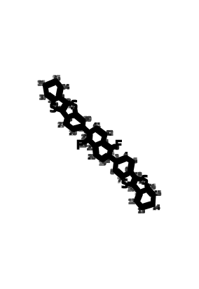 Fc1c(-c2ccc3c(c2)sc2c4ccccc4sc32)ccc2c(F)c(-c3ccc4c(c3)sc3c5ccccc5sc43)ccc12